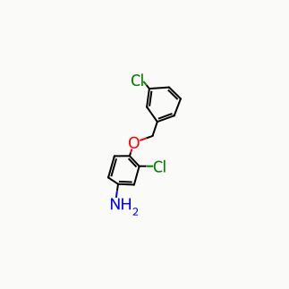 Nc1ccc(OCc2cccc(Cl)c2)c(Cl)c1